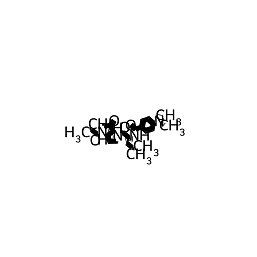 CC(C)C[C@H](NC(=O)c1ccc(N(C)C)cc1)C(=O)N1CC[C@@H]2[C@H]1C(=O)CN2C(=O)C(C)C